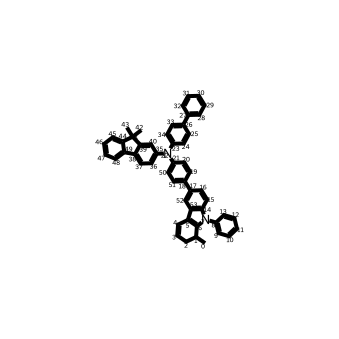 CC1CC=Cc2c1n(-c1ccccc1)c1ccc(-c3ccc(N(c4ccc(-c5ccccc5)cc4)c4ccc5c(c4)C(C)(C)c4ccccc4-5)cc3)cc21